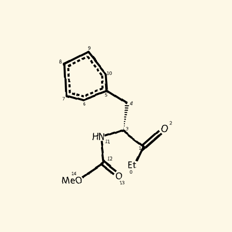 CCC(=O)[C@@H](Cc1ccccc1)NC(=O)OC